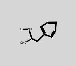 CCN[C@H](C=O)Cc1ccccc1